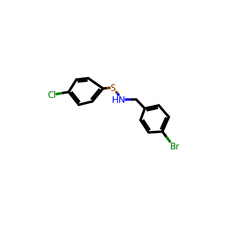 Clc1ccc(SNCc2ccc(Br)cc2)cc1